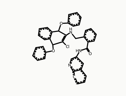 O=C(Nc1cnc2ccccc2c1)c1ccccc1CNC1=C(Cl)C(Oc2ccccc2)c2ccccc2C1Oc1ccccc1